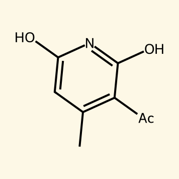 CC(=O)c1c(C)cc(O)nc1O